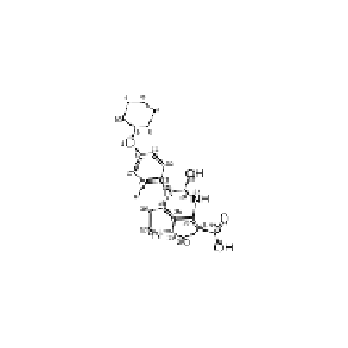 Cc1cc(OC2CCCCC2)ccc1N1c2ccnc3sc(C(=O)O)c(c23)NC1O